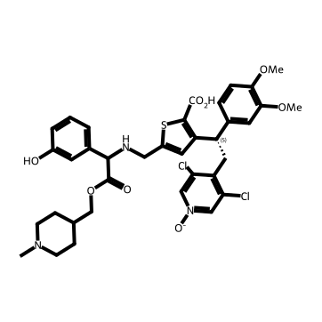 COc1ccc([C@H](Cc2c(Cl)c[n+]([O-])cc2Cl)c2cc(CNC(C(=O)OCC3CCN(C)CC3)c3cccc(O)c3)sc2C(=O)O)cc1OC